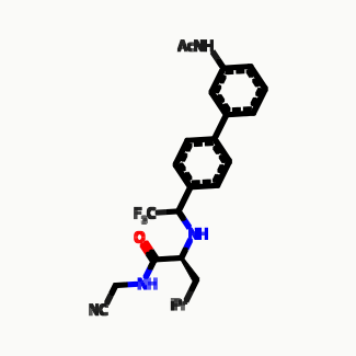 CC(=O)Nc1cccc(-c2ccc(C(N[C@@H](CC(C)C)C(=O)NCC#N)C(F)(F)F)cc2)c1